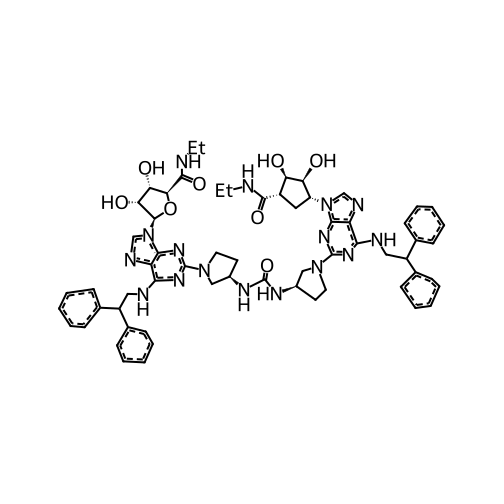 CCNC(=O)[C@H]1C[C@@H](n2cnc3c(NCC(c4ccccc4)c4ccccc4)nc(N4CC[C@@H](NC(=O)N[C@@H]5CCN(c6nc(NCC(c7ccccc7)c7ccccc7)c7ncn([C@@H]8O[C@H](C(=O)NCC)[C@@H](O)[C@H]8O)c7n6)C5)C4)nc32)[C@H](O)[C@@H]1O